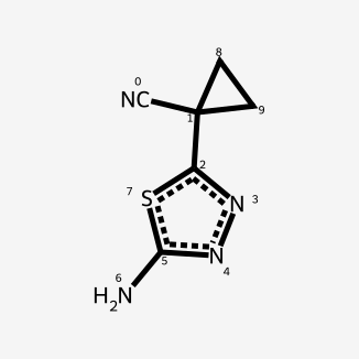 N#CC1(c2nnc(N)s2)CC1